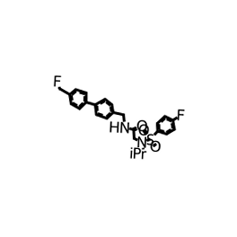 CC(C)N(CC(=O)NCc1ccc(-c2ccc(CF)cc2)cc1)S(=O)(=O)c1ccc(F)cc1